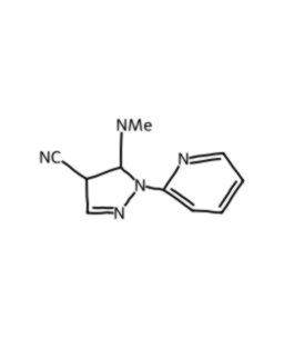 CNC1C(C#N)C=NN1c1ccccn1